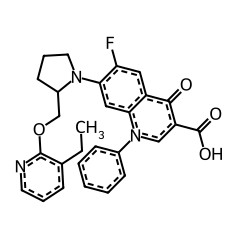 CCc1cccnc1OCC1CCCN1c1cc2c(cc1F)c(=O)c(C(=O)O)cn2-c1ccccc1